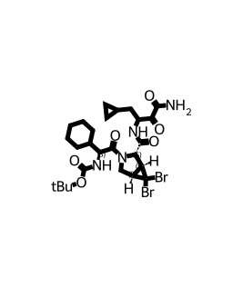 CC(C)(C)OC(=O)N[C@H](C(=O)N1C[C@H]2[C@@H]([C@H]1C(=O)NC(CC1CC1)C(=O)C(N)=O)C2(Br)Br)C1CCCCC1